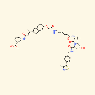 C/C(=C\C(=O)Nc1cccc(C(=O)O)c1)c1ccc2cc(OCC(=O)NCCCCCC(=O)N[C@@H](C(=O)N3C[C@H](O)C[C@H]3C(=O)NCc3ccc(-c4scnc4C)cc3)C(C)(C)C)ccc2c1